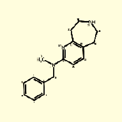 CN(Cc1ccccc1)c1ccc2c(n1)CCNCC2